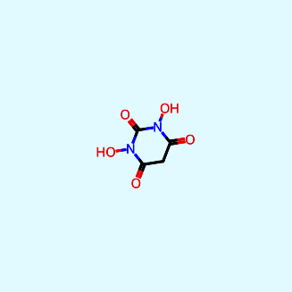 O=C1CC(=O)N(O)C(=O)N1O